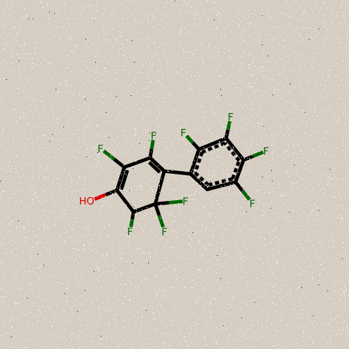 OC1=C(F)C(F)=C(c2cc(F)c(F)c(F)c2F)C(F)(F)C1F